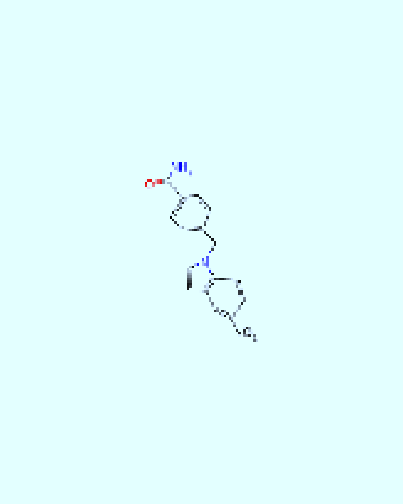 NC(=O)c1ccc(Cn2ccc3cc([N+](=O)[O-])ccc32)cc1